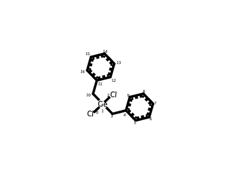 [Cl][Ge]([Cl])([CH2]c1ccccc1)[CH2]c1ccccc1